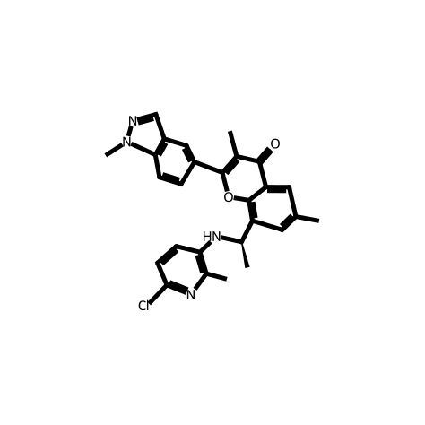 Cc1cc([C@@H](C)Nc2ccc(Cl)nc2C)c2oc(-c3ccc4c(cnn4C)c3)c(C)c(=O)c2c1